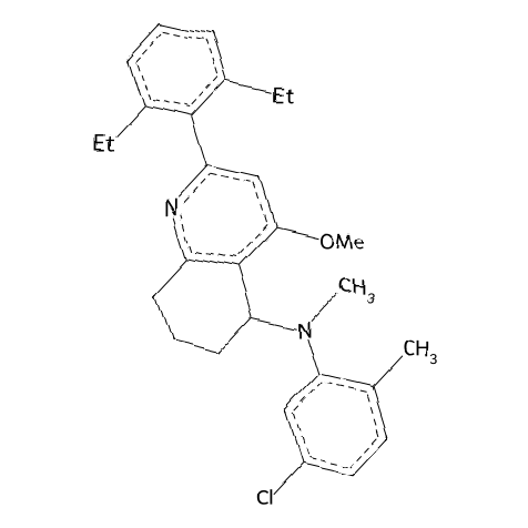 CCc1cccc(CC)c1-c1cc(OC)c2c(n1)CCCC2N(C)c1cc(Cl)ccc1C